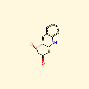 O=C1C=C2Nc3ccccc3C=C2C(=O)C1